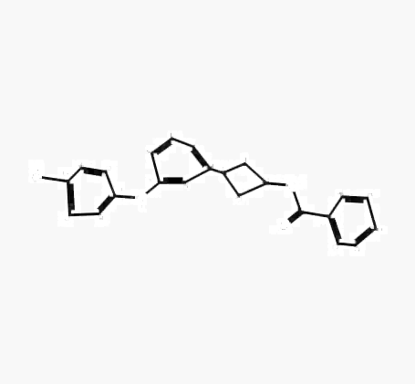 O=C(OC1CC(c2cccc(Oc3ccc(Cl)cc3)c2)C1)c1ccccc1